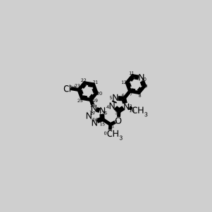 CC(Oc1nnc(-c2ccncc2)n1C)c1nnn(-c2cccc(Cl)c2)n1